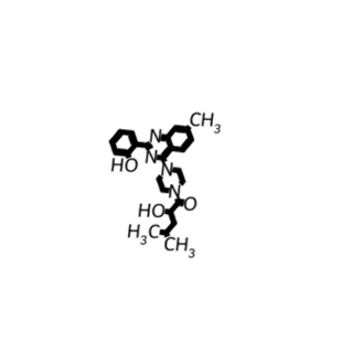 Cc1ccc2c(N3CCN(C(=O)C(O)CC(C)C)CC3)nc(-c3ccccc3O)nc2c1